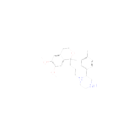 COc1cc2c(cc1OC)C(C)(CCCN1CCNCC1c1ccc(C)cc1)OCC2